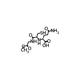 COC(=O)CNC(=O)C(CS)N[C@@H](CCC(N)=O)C(=O)O